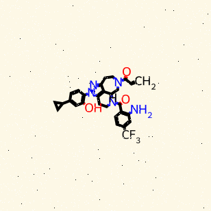 C=CC(=O)N1CCc2nn(-c3ccc(C4CC4)cc3O)c3c2[C@@H](C1)N(C(=O)c1ccc(C(F)(F)F)cc1N)CC3